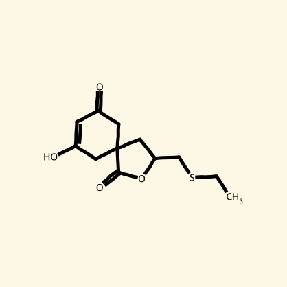 CCSCC1CC2(CC(=O)C=C(O)C2)C(=O)O1